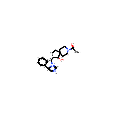 COC(=O)N1CCC2(CC[C@@H]([C@H]3c4ccccc4-c4cncn43)[C@H]2O)CC1